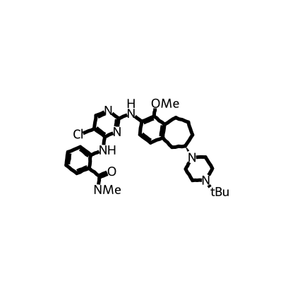 CNC(=O)c1ccccc1Nc1nc(Nc2ccc3c(c2OC)CCC[C@H](N2CCN(C(C)(C)C)CC2)C3)ncc1Cl